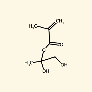 C=C(C)C(=O)OC(C)(O)CO